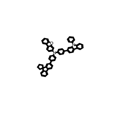 c1ccc(-n2c3ccccc3c3ccc(-c4ccc(N(c5ccc(-c6ccc7c(c6)C6(CCCC6)c6ccccc6-7)cc5)c5ccc6c(c5)oc5ccccc56)cc4)cc32)cc1